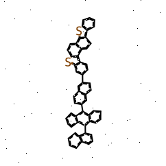 c1ccc2c(-c3c4ccccc4c(-c4ccc5cc(-c6ccc7c(c6)sc6ccc8c(ccc9c%10ccccc%10sc98)c67)ccc5c4)c4ccccc34)cccc2c1